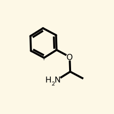 CC(N)Oc1[c]cccc1